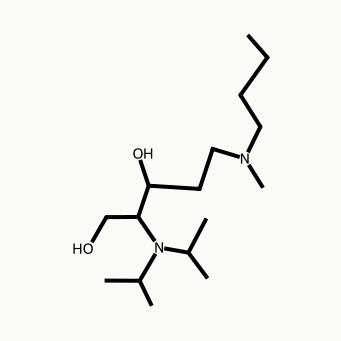 CCCCN(C)CCC(O)C(CO)N(C(C)C)C(C)C